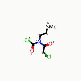 CSCCN(C(=O)Cl)C(=O)CCl